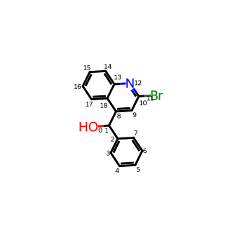 OC(c1ccccc1)c1cc(Br)nc2ccccc12